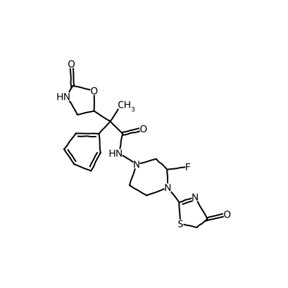 CC(C(=O)NN1CCN(C2=NC(=O)CS2)C(F)C1)(c1ccccc1)C1CNC(=O)O1